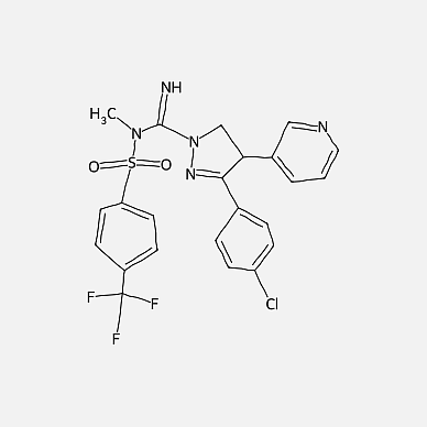 CN(C(=N)N1CC(c2cccnc2)C(c2ccc(Cl)cc2)=N1)S(=O)(=O)c1ccc(C(F)(F)F)cc1